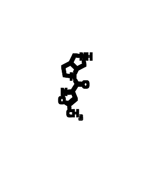 Cc1cc(C(=O)N2CCC3CNCC32)no1